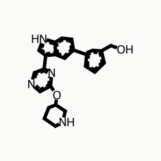 OCc1cccc(-c2ccc3[nH]cc(-c4cncc(OC5CCCNC5)n4)c3c2)c1